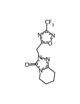 O=c1n(Cc2nc(C(F)(F)F)no2)nc2n1CCCC2